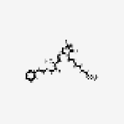 C[C@@H](CCCCc1ccccc1)[C@@H](O)C=C[C@H]1CC(F)(F)C(=O)N1CCCCCCC(=O)O